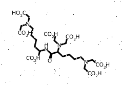 O=C(O)CN(CCCCC(NC(=O)C(CCCCN(CC(=O)O)CC(=O)O)N(CC(=O)O)CC(=O)O)C(=O)O)CC(=O)O